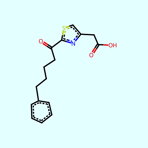 O=C(O)Cc1csc(C(=O)CCCCc2ccccc2)n1